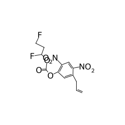 C=CCc1cc(OC(=O)OC(F)CCF)c([N+](=O)[O-])cc1[N+](=O)[O-]